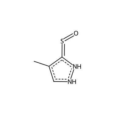 Cc1c[nH][nH]c1=S=O